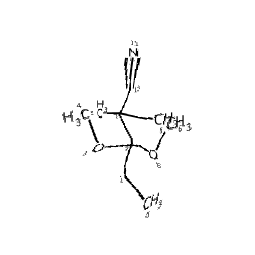 CCC(OC)(OC)C(C)(C)C#N